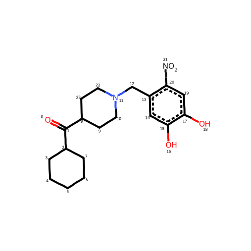 O=C(C1CCCCC1)C1CCN(Cc2cc(O)c(O)cc2[N+](=O)[O-])CC1